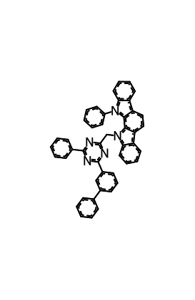 c1ccc(-c2cccc(-c3nc(Cn4c5ccccc5c5ccc6c7ccccc7n(-c7ccccc7)c6c54)nc(-c4ccccc4)n3)c2)cc1